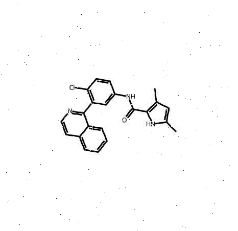 Cc1cc(C)c(C(=O)Nc2ccc(Cl)c(-c3nccc4ccccc34)c2)[nH]1